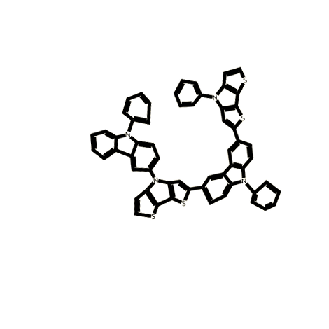 c1ccc(-n2c3ccc(-c4cc5c(s4)c4sccc4n5-c4ccccc4)cc3c3cc(-c4cc5c(s4)c4sccc4n5-c4ccc5c(c4)c4ccccc4n5-c4ccccc4)ccc32)cc1